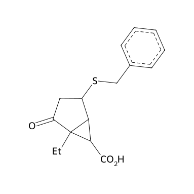 CCC12C(=O)CC(SCc3ccccc3)C1C2C(=O)O